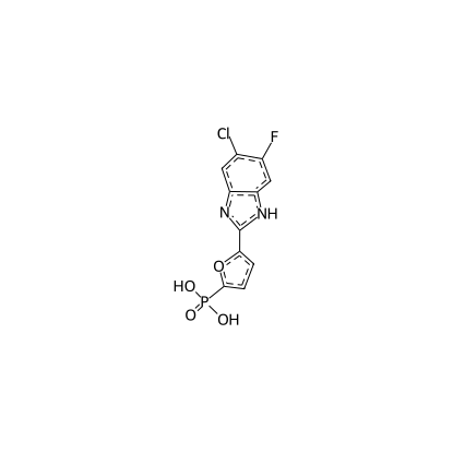 O=P(O)(O)c1ccc(-c2nc3cc(Cl)c(F)cc3[nH]2)o1